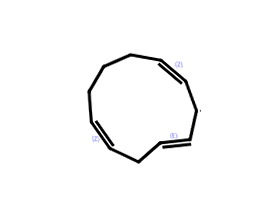 [CH]1/C=C\CCC/C=C\C/C=C/1